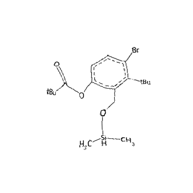 C[SiH](C)OCc1c(OC(=O)C(C)(C)C)ccc(Br)c1C(C)(C)C